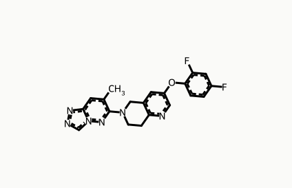 Cc1cc2nncn2nc1N1CCc2ncc(Oc3ccc(F)cc3F)cc2C1